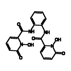 O=C(Nc1ccccc1NC(=O)c1cccc(=O)n1O)c1cccc(=O)n1O